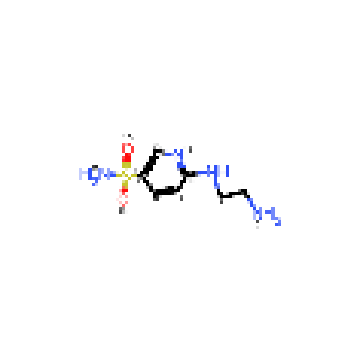 NCCNc1ccc(S(N)(=O)=O)cn1